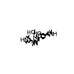 Cc1nc2cc(-c3ccc(-c4cn[nH]c4)cc3O)nnc2n1C1CC(C)(C)NC(C)(C)C1.Cl